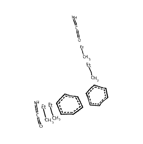 CCC.CCC.CCC.CCC.N=C=O.N=C=O.c1ccccc1.c1ccccc1